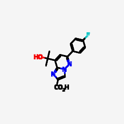 CC(C)(O)c1cc(-c2ccc(F)cc2)nn2cc(C(=O)O)nc12